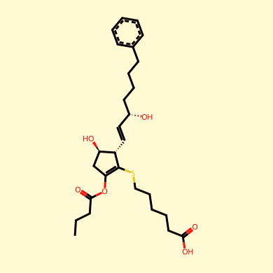 CCCC(=O)OC1=C(SCCCCCC(=O)O)[C@@H](/C=C/[C@@H](O)CCCCc2ccccc2)[C@H](O)C1